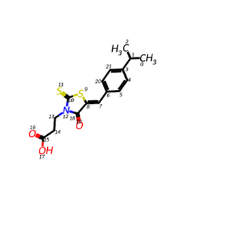 CC(C)c1ccc(/C=C2\SC(=S)N(CCC(=O)O)C2=O)cc1